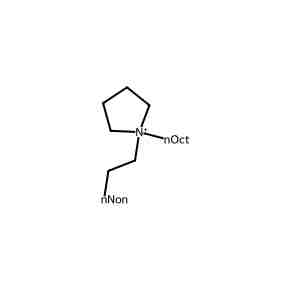 CCCCCCCCCCC[N+]1(CCCCCCCC)CCCC1